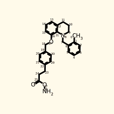 Cc1ccccc1CN1CCCc2cccc(OCc3ccc(CCC(=O)ON)cc3)c21